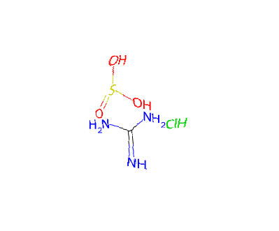 Cl.N=C(N)N.O=S(O)O